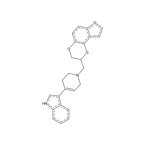 C1=C(c2c[nH]c3ccccc23)CCN(CC2COc3ccc4occc4c3O2)C1